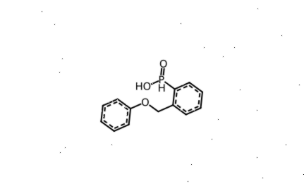 O=[PH](O)c1ccccc1COc1ccccc1